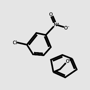 O=[N+]([O-])c1cccc(Cl)c1.c1cc2ccc1CO2